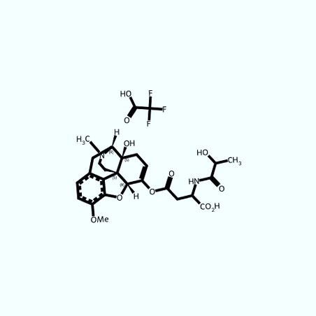 COc1ccc2c3c1O[C@H]1C(OC(=O)CC(NC(=O)C(C)O)C(=O)O)=CC[C@@]4(O)[C@@H](C2)N(C)CC[C@]314.O=C(O)C(F)(F)F